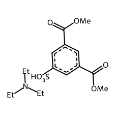 CCN(CC)CC.COC(=O)c1cc(C(=O)OC)cc(S(=O)(=O)O)c1